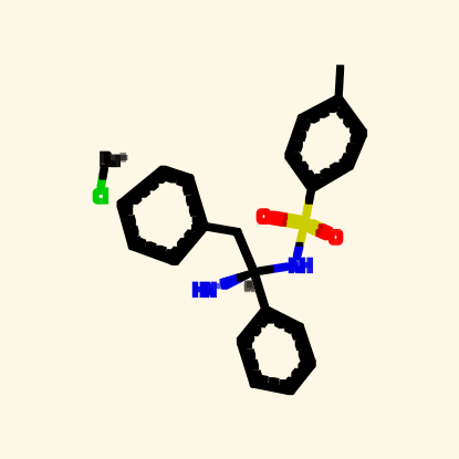 Cc1ccc(S(=O)(=O)N[C@@]([NH-])(Cc2ccccc2)c2ccccc2)cc1.[Cl][Ru+]